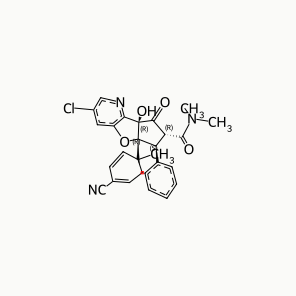 CN(C)C(=O)[C@H]1C(=O)[C@@]2(O)c3ncc(Cl)cc3O[C@@]2(C2(C)C=CC(C#N)=CC2)[C@@H]1c1ccccc1